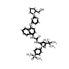 CC(C)(C)c1cc(NC(=O)Nc2ccc(Oc3ccnc(N4CCCC4CO)n3)c3ccccc23)n(-c2ccc(P(C)(C)=O)cc2)n1